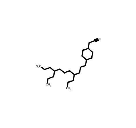 CCCC(CCC)CCCC(CCC)CCCC1CCC(CC#N)CC1